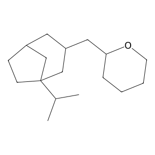 CC(C)C12CCC(CC(CC3CCCCO3)C1)C2